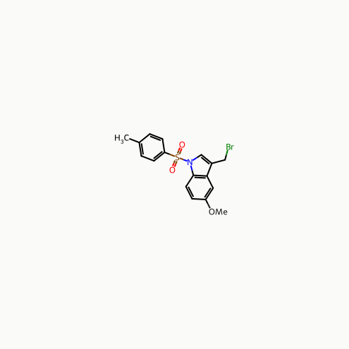 COc1ccc2c(c1)c(CBr)cn2S(=O)(=O)c1ccc(C)cc1